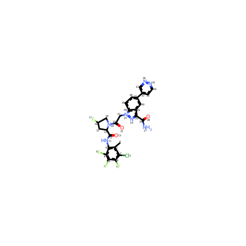 Cc1c(Cl)c(F)c(F)c(F)c1NC(=O)C1CC(F)CN1C(=O)Cn1nc(C(N)=O)c2cc(-c3ccnnc3)ccc21